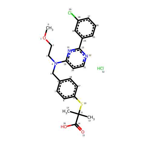 COCCN(Cc1ccc(SC(C)(C)C(=O)O)cc1)c1ccnc(-c2cccc(Cl)c2)n1.Cl